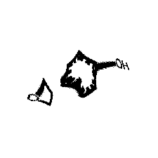 C1COC1.Oc1ccccc1